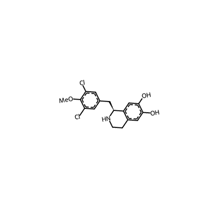 COc1c(Cl)cc(C[C@@H]2NCCc3cc(O)c(O)cc32)cc1Cl